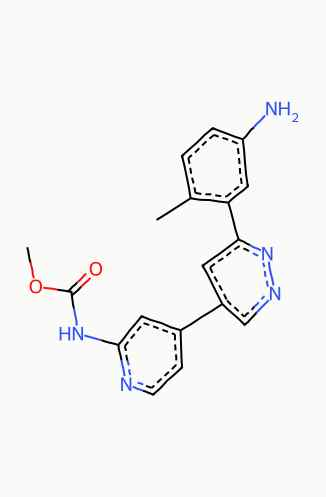 COC(=O)Nc1cc(-c2cnnc(-c3cc(N)ccc3C)c2)ccn1